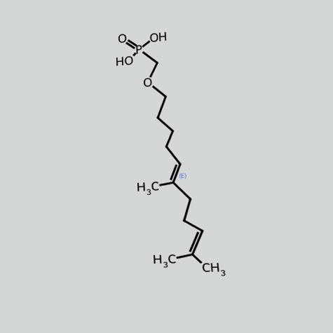 CC(C)=CCC/C(C)=C/CCCCOCP(=O)(O)O